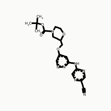 CC(C)(C)OC(=O)N1CCOC(COc2cnnc(Nc3cnc(C#N)cn3)c2)C1